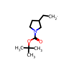 [CH2]CC1CCN(C(=O)OC(C)(C)C)C1